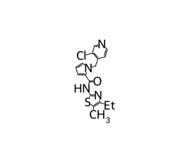 CCc1nc(NC(=O)c2cccn2Cc2ccncc2Cl)sc1C